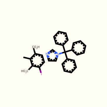 Cc1c(C(=O)O)ccc(I)c1C(=O)O.c1ccc(C(c2ccccc2)(c2ccccc2)n2ccnc2)cc1